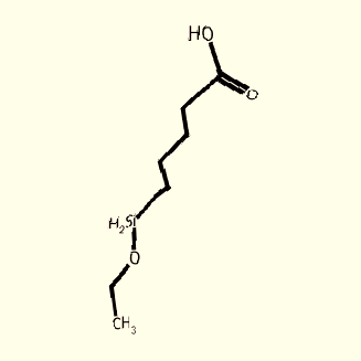 CCO[SiH2]CCCCC(=O)O